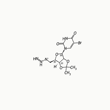 CC1(C)OC2[C@@H](O1)[C@@H](C[N-][NH+]=N)O[C@H]2n1cc(Br)c(=O)[nH]c1=O